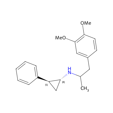 COc1ccc(CC(C)N[C@@H]2C[C@H]2c2ccccc2)cc1OC